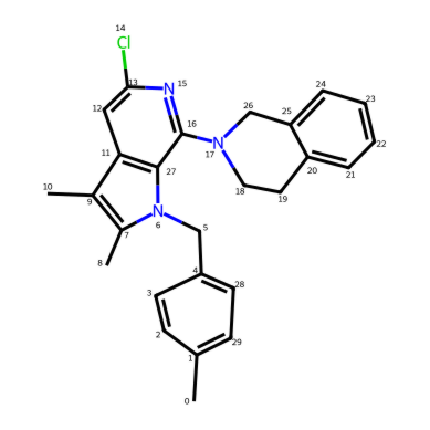 Cc1ccc(Cn2c(C)c(C)c3cc(Cl)nc(N4CCc5ccccc5C4)c32)cc1